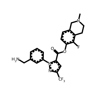 CN1CCc2c(ccc(OC(=O)c3cc(C(F)(F)F)nn3-c3cccc(CN)c3)c2F)C1